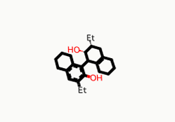 CCc1cc2c(c(C3C4=C(CCCC4)C[C@@H](CC)[C@H]3O)c1O)CCCC2